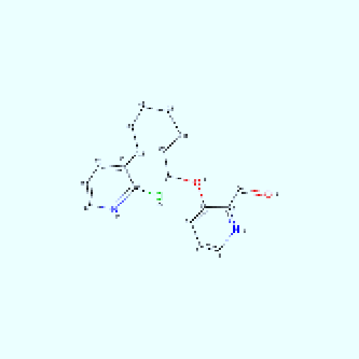 O=Cc1ncccc1OCC1CCCCC1c1cccnc1Cl